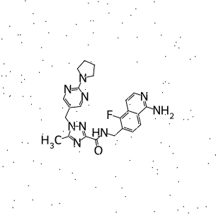 Cc1nc(C(=O)NCc2ccc3c(N)nccc3c2F)nn1Cc1cnc(N2CCCC2)nc1